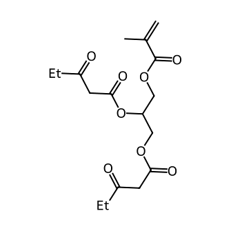 C=C(C)C(=O)OCC(COC(=O)CC(=O)CC)OC(=O)CC(=O)CC